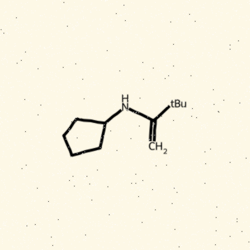 C=C(NC1CCCC1)C(C)(C)C